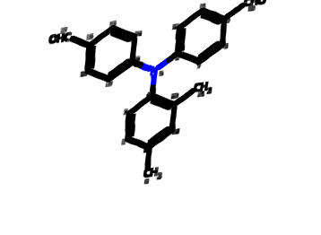 Cc1ccc(N(c2ccc(C=O)cc2)c2ccc(C=O)cc2)c(C)c1